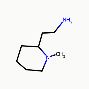 CN1CCCCC1CCN